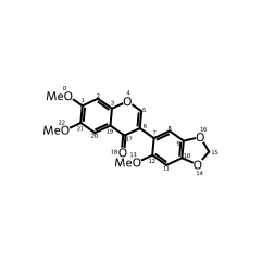 COc1cc2occ(-c3cc4c(cc3OC)OCO4)c(=O)c2cc1OC